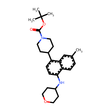 Cc1ccc2c(NC3CCOCC3)ccc(C3CCN(C(=O)OC(C)(C)C)CC3)c2c1